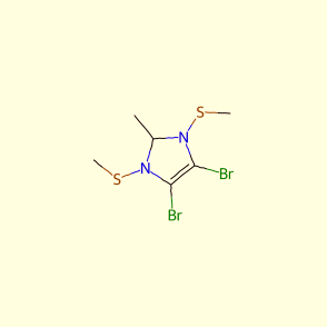 CSN1C(Br)=C(Br)N(SC)C1C